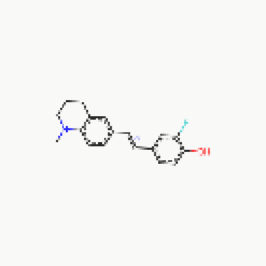 CN1CCCc2cc(/C=C/c3ccc(O)c(F)c3)ccc21